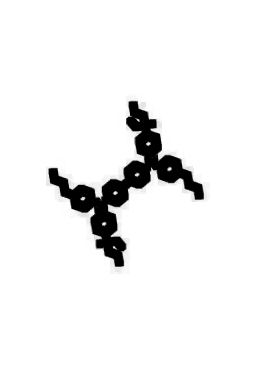 CCCCc1ccc(N(c2ccc(-c3ccc(N(c4ccc(CCCC)cc4)c4ccc(C(C)(CC)CCC)cc4)cc3)cc2)c2ccc(C(C)(CC)CCC)cc2)cc1